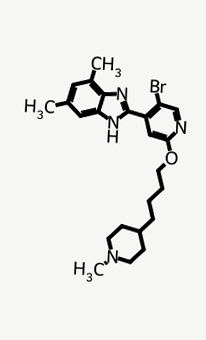 Cc1cc(C)c2nc(-c3cc(OCCCCC4CCN(C)CC4)ncc3Br)[nH]c2c1